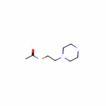 CC(=O)SCCN1CC[N]CC1